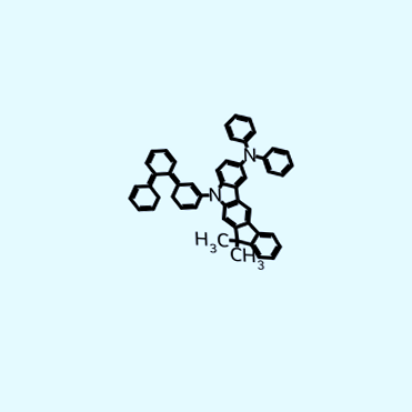 CC1(C)c2ccccc2-c2cc3c4cc(N(c5ccccc5)c5ccccc5)ccc4n(C4=C/C(=c5\cccc\c5=C5/C=CC=CC5)CC=C4)c3cc21